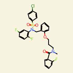 CN(CCCOc1ccccc1CN(c1cc(F)ccc1F)S(=O)(=O)c1ccc(Cl)cc1)C(=O)c1ccccc1F